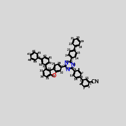 N#Cc1cccc(-c2ccc(-c3nc(-c4ccc(-c5ccccc5)cc4)nc(-c4ccc5c(c4)oc4cccc(-c6cccc(-c7ccccc7)c6)c45)n3)cc2)c1